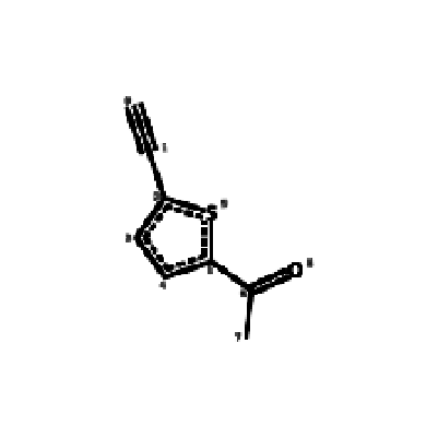 C#Cc1ccc(C(C)=O)s1